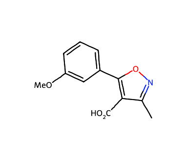 COc1cccc(-c2onc(C)c2C(=O)O)c1